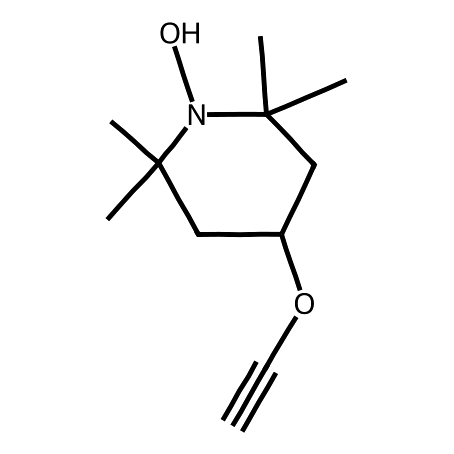 C#COC1CC(C)(C)N(O)C(C)(C)C1